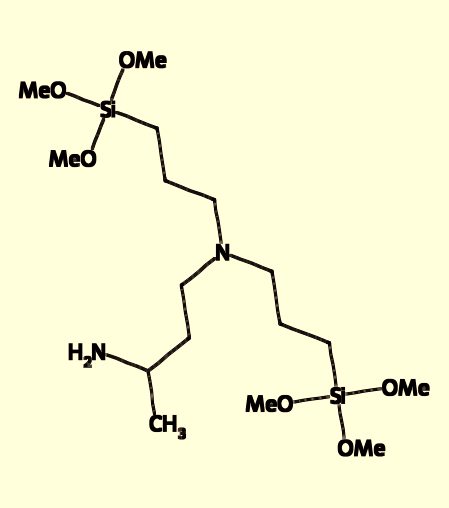 CO[Si](CCCN(CCC[Si](OC)(OC)OC)CCC(C)N)(OC)OC